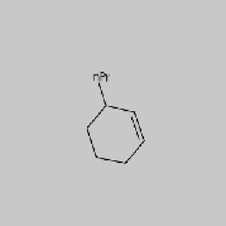 C[CH]CC1C=CCCC1